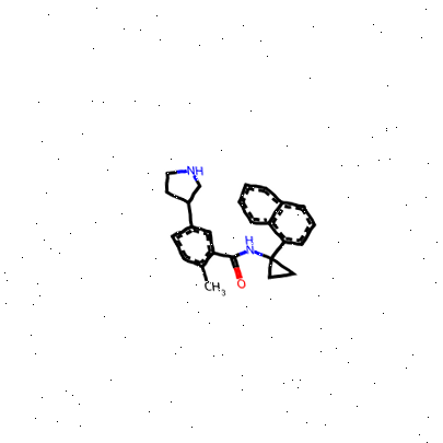 Cc1ccc(C2CCNC2)cc1C(=O)NC1(c2cccc3ccccc23)CC1